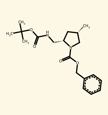 C[C@H]1C[C@@H](CNC(=O)OC(C)(C)C)N(C(=O)OCc2ccccc2)C1